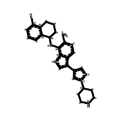 Nc1ncc2c(-c3cnn(C4CCNCC4)c3)coc2c1OC1CCCc2c(F)cccc21